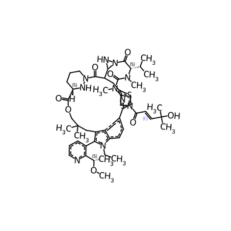 CCn1c(-c2cccnc2[C@H](C)OC)c2c3cc(ccc31)-c1csc(n1)CC(C1NN1C(=O)[C@H](C(C)C)N(C)C(=O)N(C)C1CN(C(=O)/C=C/C(C)(C)O)C1)C(=O)N1CCC[C@H](N1)C(=O)OCC(C)(C)C2